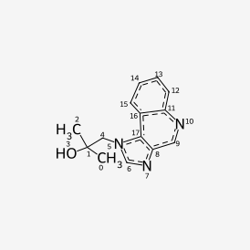 CC(C)(O)Cn1cnc2cnc3ccccc3c21